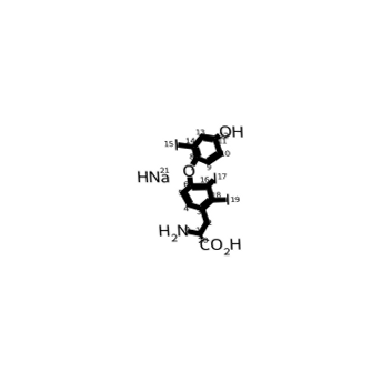 N[C@@H](Cc1ccc(Oc2ccc(O)cc2I)c(I)c1I)C(=O)O.[NaH]